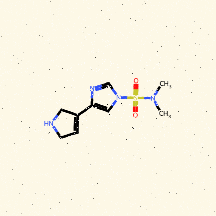 CN(C)S(=O)(=O)n1cnc(C2=CCNC2)c1